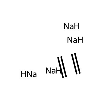 C=C.C=C.[NaH].[NaH].[NaH].[NaH]